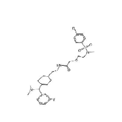 CN(C)C(c1cccc(F)c1)C1CCC(CCNC(=O)COCCN(C)S(=O)(=O)c2ccc(Cl)cc2)CC1